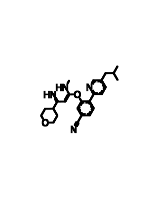 CN/C(=C\C(=N)C1CCOCC1)Oc1cc(C#N)ccc1-c1ccc(CC(C)C)cn1